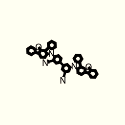 N#Cc1cc(-c2ccc(-n3c4ccccc4c4c5oc6ccccc6c5ccc43)c(C#N)c2)cc(-n2c3ccccc3c3c4oc5ccccc5c4ccc32)c1